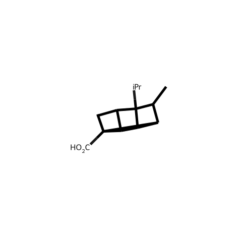 CC(C)C12C(C)C3C1C1C2CC31C(=O)O